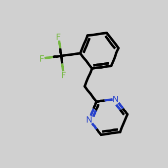 FC(F)(F)c1ccccc1Cc1ncccn1